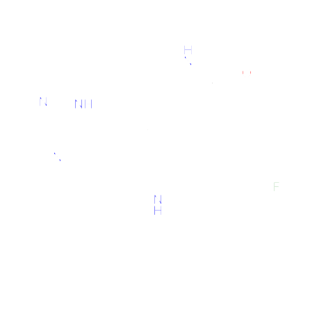 O=C1NCC=C2c3c(cc(F)cc31)NC(c1ccccc1)C2c1ncn[nH]1